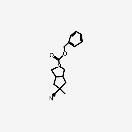 CC1(C#N)CC2CN(C(=O)OCc3ccccc3)CC2C1